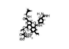 C=Cc1cc(C(=O)Nc2ccc(C(=N)N)cc2)c(-c2ccc(C(=O)NCC3CC3)nc2C(=O)OC(C)OC(=O)[C@@H](N)C(C)CC)cc1OC